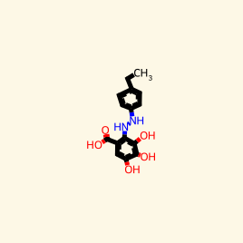 CCc1ccc(NNc2c(C(=O)O)cc(O)c(O)c2O)cc1